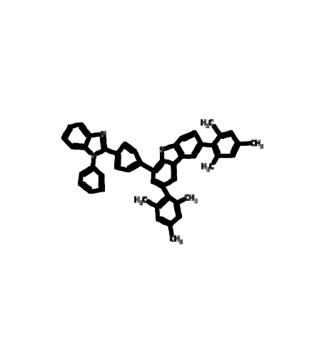 Cc1cc(C)c(-c2ccc3sc4c(-c5ccc(-c6nc7ccccc7n6-c6ccccc6)cc5)cc(-c5c(C)cc(C)cc5C)cc4c3c2)c(C)c1